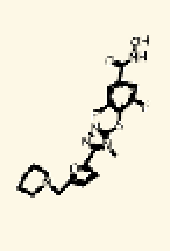 Cn1c(Sc2c(F)cc(C(=O)NO)cc2F)nnc1-c1ccc(CN2CCCCC2)o1